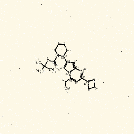 CC(C)(C)OC(=O)N1CCCC[C@H]1c1cc2nc(N3CCC3)cc(CO)n2n1